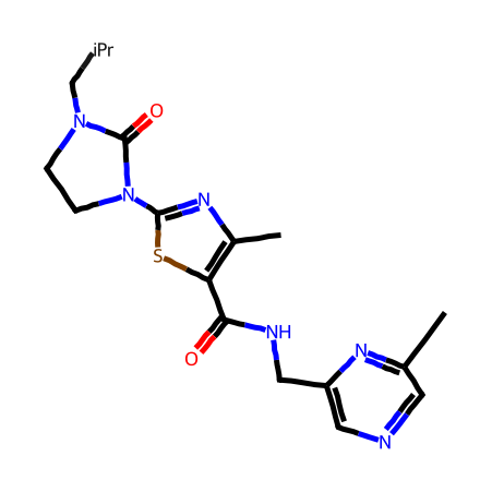 Cc1cncc(CNC(=O)c2sc(N3CCN(CC(C)C)C3=O)nc2C)n1